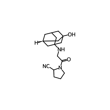 N#CC1CCCN1C(=O)CNC12CC3C[C@H](CC(O)(C3)C1)C2